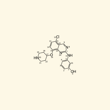 Oc1cccc(Nc2ncc3c(Cl)ccc(OC4CCNCC4)c3n2)c1